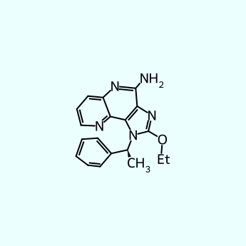 CCOc1nc2c(N)nc3cccnc3c2n1[C@@H](C)c1ccccc1